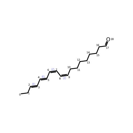 CC/C=C/C=C/C=C\C=C/CCCCCCCC=O